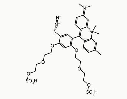 Cc1ccc2c(c1)[Si](C)(C)C1=CC(=[N+](C)C)C=CC1=C2c1cc(N=[N+]=[N-])c(OCCOCCOS(=O)(=O)O)cc1OCCOCCOS(=O)(=O)O